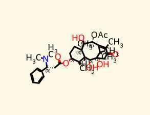 C=C1[C@@H](OC(=O)C[C@H](c2ccccc2)N(C)C)CC[C@@]2(C)[C@@H](O)[C@H](OC(C)=O)C3=C(C)C(=O)C[C@@](O)([C@@H](O)[C@H]12)C3(C)C